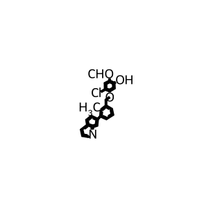 Cc1c(COc2cc(O)c(C=O)cc2Cl)cccc1-c1ccc2cccnc2c1